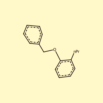 CCCc1ccccc1OCc1ccccc1